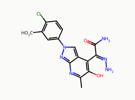 Cc1nc2nn(-c3ccc(Cl)c(C(=O)O)c3)cc2c(/C(=N\N)C(N)=O)c1O